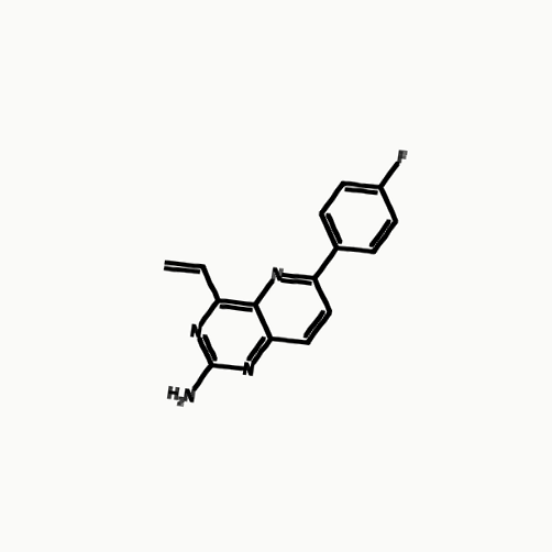 C=Cc1nc(N)nc2ccc(-c3ccc(F)cc3)nc12